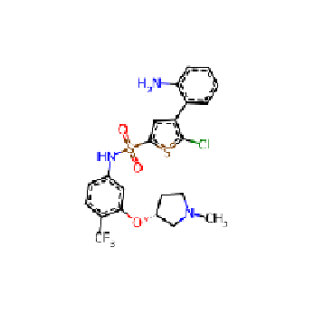 CN1CC[C@@H](Oc2cc(NS(=O)(=O)c3cc(-c4ccccc4N)c(Cl)s3)ccc2C(F)(F)F)C1